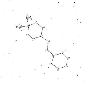 NC1(N)CCC(CCC2CCCCC2)CC1